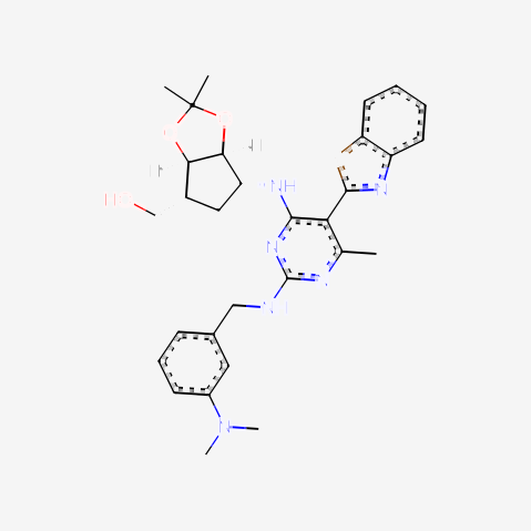 Cc1nc(NCc2cccc(N(C)C)c2)nc(N[C@@H]2C[C@H](CO)[C@H]3OC(C)(C)O[C@H]32)c1-c1nc2ccccc2s1